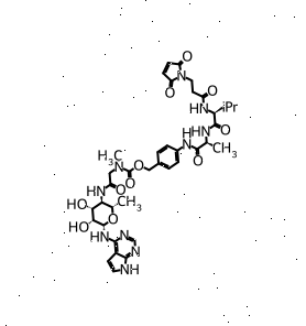 CC(C)[C@H](NC(=O)CCN1C(=O)C=CC1=O)C(=O)N[C@@H](C)C(=O)Nc1ccc(COC(=O)N(C)CC(=O)N[C@@H]2[C@@H](O)[C@@H](O)[C@@H](Nc3ncnc4[nH]ccc34)O[C@H]2C)cc1